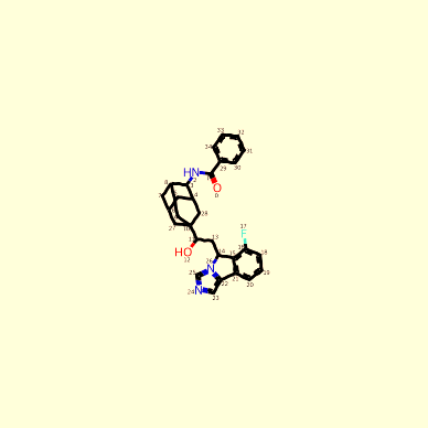 O=C(NC1C2CC3CC1CC(C(O)CC1c4c(F)cccc4-c4cncn41)(C3)C2)c1ccccc1